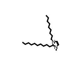 CCCCCCCCCCC1N(C)C=CN1CCCCCCCCC